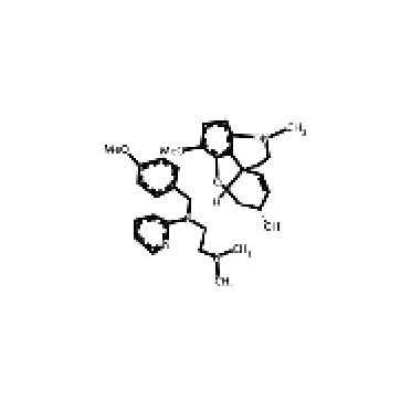 COc1ccc(CN(CCN(C)C)c2ccccn2)cc1.COc1ccc2c3c1O[C@H]1C[C@@H](O)C=C[C@@]31CCN(C)C2